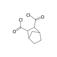 O=C(Cl)C1C2CCC(C2)C1C(=O)Cl